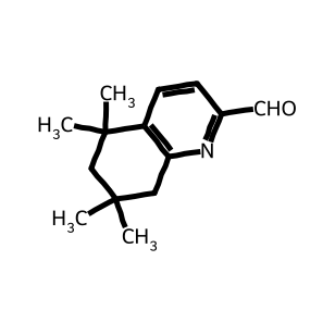 CC1(C)Cc2nc(C=O)ccc2C(C)(C)C1